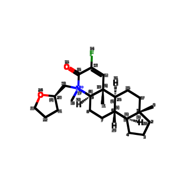 C[C@@]12CCC[C@H]1[C@@H]1CC[C@@H]3[C@](C)(C=C(F)C(=O)[N+]3(C)C[C@H]3CCCO3)[C@H]1CC2